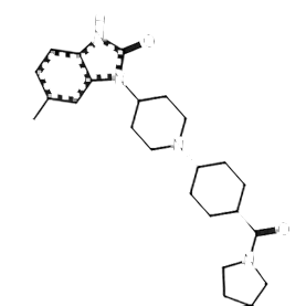 Cc1ccc2[nH]c(=O)n(C3CCN([C@H]4CC[C@H](C(=O)N5CCCC5)CC4)CC3)c2c1